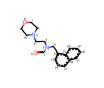 O=CN(CCN1CCOCC1)Cc1cccc2ccccc12